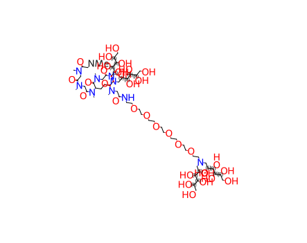 CNCC(=O)N(C)CC(=O)N(C)CC(=O)N(C)C(CCCN(C[C@H](O)[C@@H](O)[C@H](O)[C@H](O)CO)C[C@H](O)[C@@H](O)[C@H](O)[C@H](O)CO)C(=O)N(C)CC(=O)N(C)CC(=O)N(C)CC(=O)NCCOCCOCCOCCOCCOCCOCCN(C[C@H](O)[C@@H](O)[C@H](O)[C@H](O)CO)C[C@H](O)[C@@H](O)[C@H](O)[C@H](O)CO